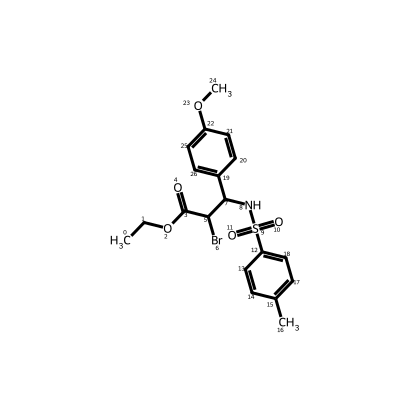 CCOC(=O)C(Br)C(NS(=O)(=O)c1ccc(C)cc1)c1ccc(OC)cc1